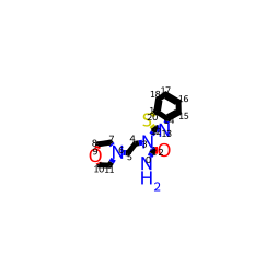 NC(=O)N(CCN1CCOCC1)c1nc2ccccc2s1